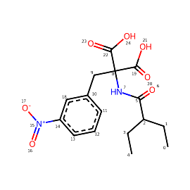 CCC(CC)C(=O)NC(Cc1cccc([N+](=O)[O-])c1)(C(=O)O)C(=O)O